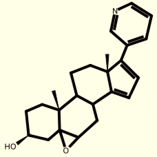 C[C@]12CCC3C(CC4OC45C[C@@H](O)CC[C@]35C)C1=CC=C2c1cccnc1